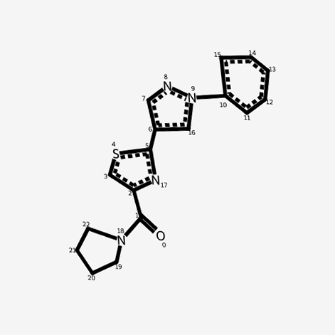 O=C(c1csc(-c2cnn(-c3ccccc3)c2)n1)N1CCCC1